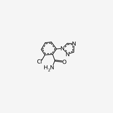 NC(=O)c1c(Cl)cccc1-n1cncn1